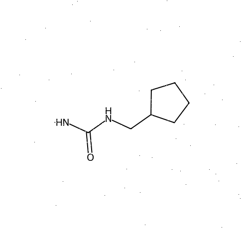 [NH]C(=O)NCC1CCCC1